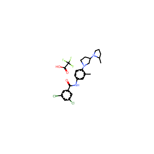 Cc1cc(NC(=O)c2cc(Cl)cc(Cl)c2)ccc1N1CCC(N2CCCC2C)C1.O=C(O)C(F)(F)F